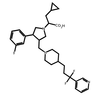 O=C(O)C(CC1CC1)N1CC(CN2CCC(CCC(F)(F)c3cccnc3)CC2)C(c2cccc(F)c2)C1